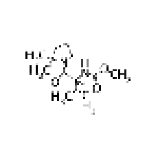 COC(=O)N[C@H](C(=O)N1CCCC1(C)C)C(C)C